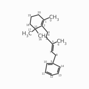 CC1=C(CC/C(C)=C/Cc2ccccc2)C(C)(C)CCC1